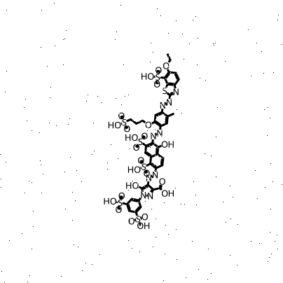 CCOc1ccc2nc(N=Nc3cc(OCCCS(=O)(=O)O)c(N=Nc4c(S(=O)(=O)O)cc5c(S(=O)(=O)O)c(N=Nc6c(C(=O)O)nn(-c7cc(S(=O)(=O)O)cc(S(=O)(=O)O)c7)c6O)ccc5c4O)cc3C)sc2c1S(=O)(=O)O